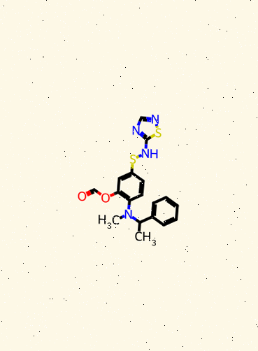 CC(c1ccccc1)N(C)c1ccc(SNc2ncns2)cc1OC=O